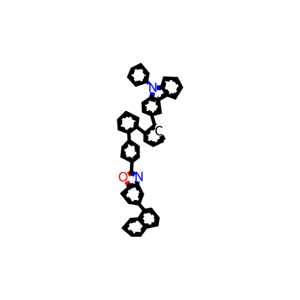 c1ccc(-n2c3ccccc3c3cc(-c4ccccc4-c4ccccc4-c4ccc(-c5nc6cc(-c7cccc8ccccc78)ccc6o5)cc4)ccc32)cc1